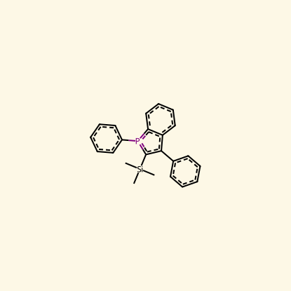 C[Si](C)(C)c1c(-c2ccccc2)c2ccccc2p1-c1ccccc1